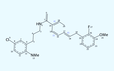 C=C(NCCCc1cc(Cl)ccc1NC)C(/C=C\C=C\Cc1cccc(OC)c1F)=C/C